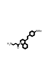 CNc1ccc(C=Cc2cc[n+](C(=O)CCN)c3ccccc23)cc1